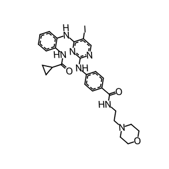 O=C(NCCN1CCOCC1)c1ccc(Nc2ncc(I)c(Nc3ccccc3NC(=O)C3CC3)n2)cc1